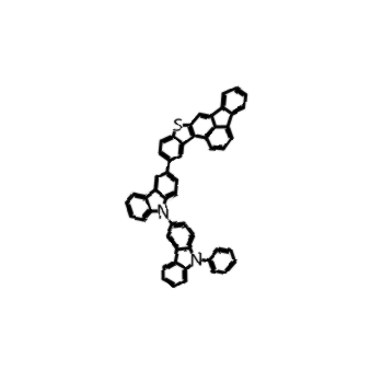 c1ccc(-n2c3ccccc3c3cc(-n4c5ccccc5c5cc(-c6ccc7sc8cc9c%10c(cccc%10c8c7c6)-c6ccccc6-9)ccc54)ccc32)cc1